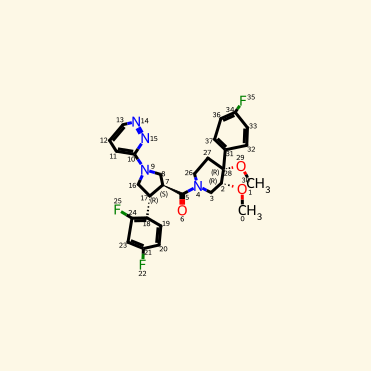 CO[C@@H]1CN(C(=O)[C@@H]2CN(c3cccnn3)C[C@H]2c2ccc(F)cc2F)CC[C@@]1(OC)c1ccc(F)cc1